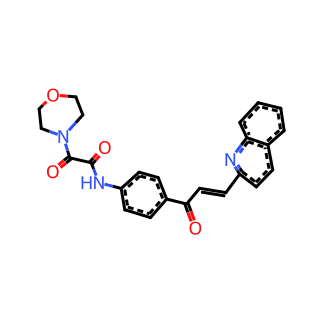 O=C(Nc1ccc(C(=O)C=Cc2ccc3ccccc3n2)cc1)C(=O)N1CCOCC1